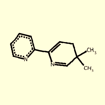 CC1(C)C=NC(c2ccccn2)=CC1